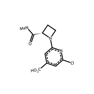 CNC(=O)[C@@H]1CCN1c1cc(C(=O)O)cc(Cl)n1